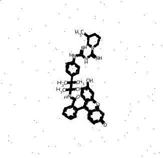 CC1CCCN(C(=N)NC(=N)Nc2ccc(C(C)(C)C(C)(C)NC(=O)c3ccccc3-c3c4ccc(=O)cc-4oc4cc(O)ccc34)cc2)C1